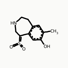 Cc1cc2c(cc1O)C(=S(=O)=O)CNCC2